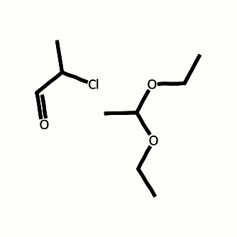 CC(Cl)C=O.CCOC(C)OCC